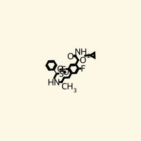 C[C@@H]1NC[C@@H](c2ccccc2)S(=O)(=O)C1Cc1cc(F)c([C@@H](OCC2CC2)C(N)=O)cc1F